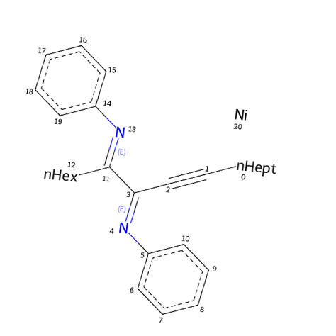 CCCCCCCC#CC(=N\c1ccccc1)/C(CCCCCC)=N/c1ccccc1.[Ni]